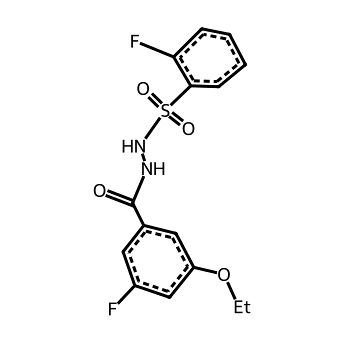 CCOc1cc(F)cc(C(=O)NNS(=O)(=O)c2ccccc2F)c1